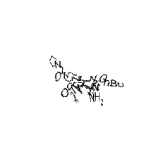 CCCCOc1nc(N)c([N+](=O)[O-])c(N2CCN(C(=O)CN3CCCC3)CC2C(=O)OCC)n1